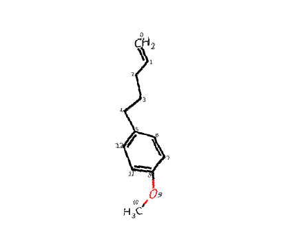 C=CCCCc1ccc(OC)cc1